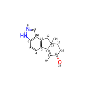 CC1=C2c3ccc4[nH]ncc4c3CC2(C)CCC1=O